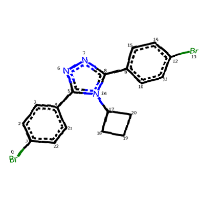 Brc1ccc(-c2nnc(-c3ccc(Br)cc3)n2C2CCC2)cc1